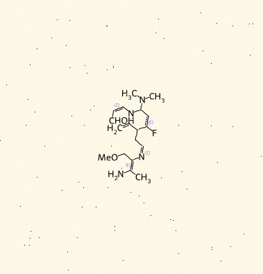 C=CC(C/C=N\C(COC)=C(/C)N)/C(F)=C\C(N/C=C\C=O)N(C)C